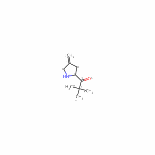 C=C1CNC(C(=O)C(C)(C)C)C1